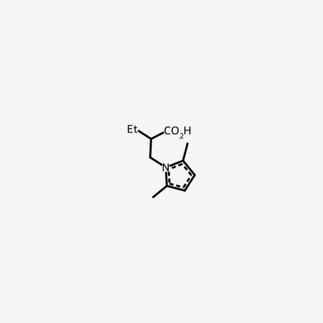 CCC(Cn1c(C)ccc1C)C(=O)O